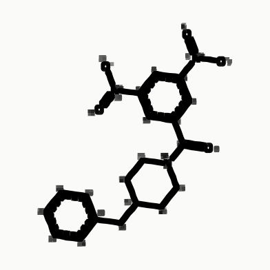 O=C(c1cc([N+](=O)[O-])cc([N+](=O)[O-])c1)N1CCC(Cc2ccccc2)CC1